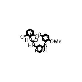 COc1ccc(OC)c(Nc2cc(NC(=O)Nc3c(Cl)cccc3Cl)ncn2)c1